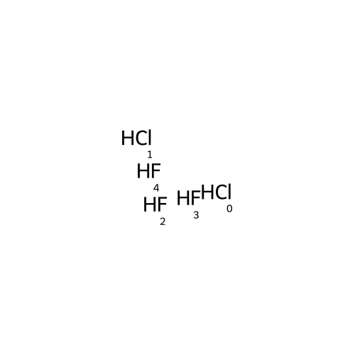 Cl.Cl.F.F.F